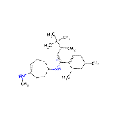 C=C(/C=C(/NC1CCC=C(NC)CC1)C1=CCC(C)C=C1C)C(C)(C)C